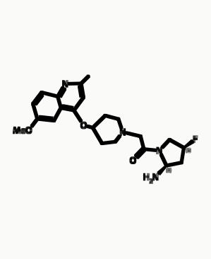 COc1ccc2nc(C)cc(OC3CCN(CC(=O)N4C[C@@H](F)C[C@H]4N)CC3)c2c1